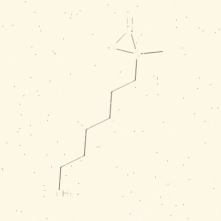 CCCCCCCCCCCCS1(C)NO1